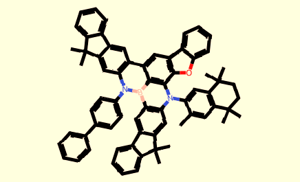 Cc1cc2c(cc1N1c3cc4c(cc3B3c5c(cc6c(oc7ccccc76)c51)-c1cc5c(cc1N3c1ccc(-c3ccccc3)cc1)C(C)(C)c1ccccc1-5)-c1ccccc1C4(C)C)C(C)(C)CCC2(C)C